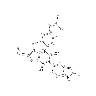 Cn1cc2cc(-n3c(=O)c4sc(C5CC5)nc4n(-c4ccc(OC(F)F)cc4F)c3=O)ccc2n1